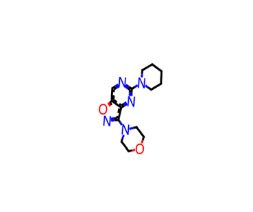 c1nc(N2CCCCC2)nc2c(N3CCOCC3)noc12